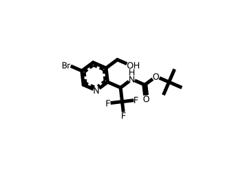 CC(C)(C)OC(=O)NC(c1ncc(Br)cc1CO)C(F)(F)F